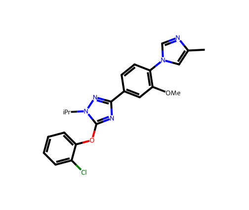 COc1cc(-c2nc(Oc3ccccc3Cl)n(C(C)C)n2)ccc1-n1cnc(C)c1